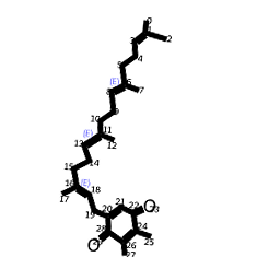 CC(C)=CCC/C(C)=C/CC/C(C)=C/CC/C(C)=C/CC1=CC(=O)C(C)=C(C)C1=O